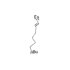 [CH2]CC=CCCCCCC[CH]C